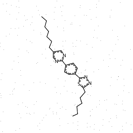 CCCCCCCc1cnc(-c2ccc(-c3nnc(CCCCCC)s3)cc2)nc1